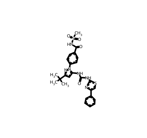 CC(C)(C)c1cc(NC(=O)Nc2nc(-c3ccccc3)cs2)n(-c2ccc(C(=O)NS(C)(=O)=O)cc2)n1